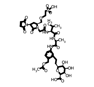 CC(=O)OCc1ccc(NC(=O)[C@H](C)NC(=O)[C@@H](NC(=O)CN2C(=O)[C@@H](N3C(=O)C=CC3=O)C[C@H]2COCCS(=O)(=O)O)C(C)C)cc1CC[C@@H]1O[C@H](C(=O)O)[C@@H](O)[C@H](O)[C@H]1O